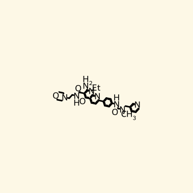 CCn1c(N)c(C(=O)NCCN2CCOCC2)c(=O)c2ccc(-c3ccc(NC(=O)N(C)Cc4cccnc4)cc3)nc21